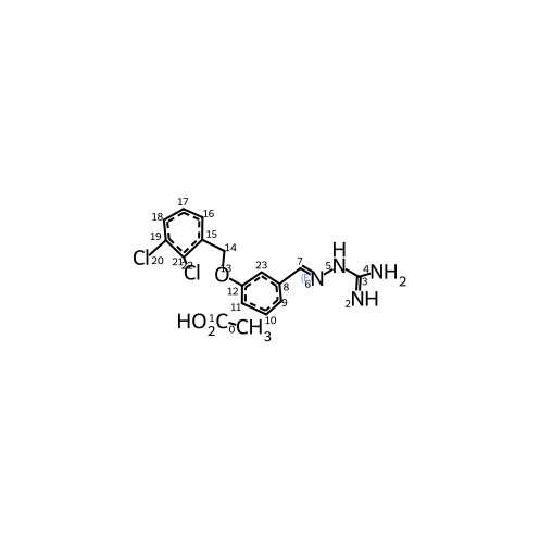 CC(=O)O.N=C(N)N/N=C/c1cccc(OCc2cccc(Cl)c2Cl)c1